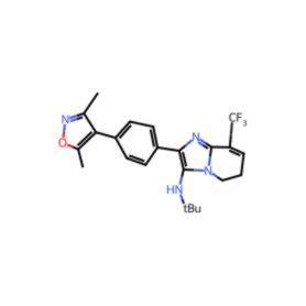 Cc1noc(C)c1-c1ccc(-c2nc3n(c2NC(C)(C)C)CCC=C3C(F)(F)F)cc1